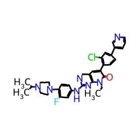 CCn1c(=O)c(-c2ccc(-c3cccnc3)cc2Cl)cc2cnc(Nc3ccc(N4CCN(C(C)C)CC4)c(F)c3)nc21